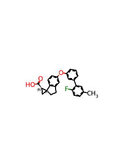 Cc1ccc(F)c(-c2cccc(Oc3ccc4c(c3)CC[C@]43C[C@H]3C(=O)O)c2)c1